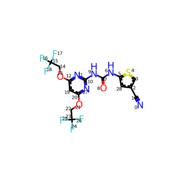 N#Cc1csc(NC(=O)Nc2nc(OCC(F)(F)F)cc(OCC(F)(F)F)n2)c1